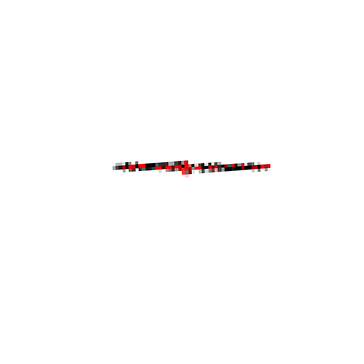 CCCCCCCCCCCCCCCCCCCCCCCCCCCCCCCCCC(=O)OCCCCCCCCCCCCCCCCCCCCCCCCCCC